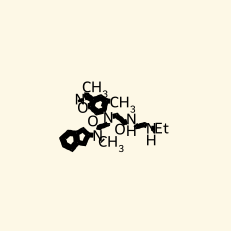 CCNCCNC(=O)CN(CC(=O)N(C)C1Cc2ccccc2C1)c1cc2onc(C)c2cc1C